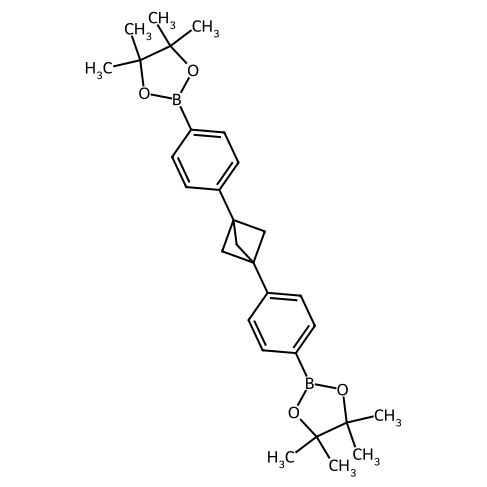 CC1(C)OB(c2ccc(C34CC(c5ccc(B6OC(C)(C)C(C)(C)O6)cc5)(C3)C4)cc2)OC1(C)C